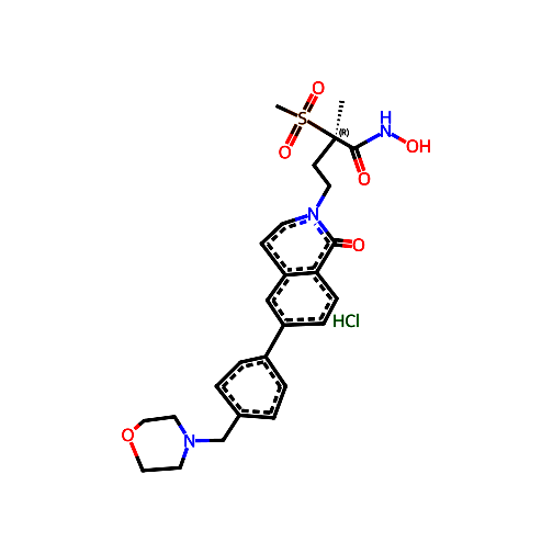 C[C@@](CCn1ccc2cc(-c3ccc(CN4CCOCC4)cc3)ccc2c1=O)(C(=O)NO)S(C)(=O)=O.Cl